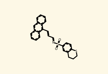 O=S(=O)(N=CC=Cc1c2ccccc2cc2ccccc12)c1ccc2c(c1)CCCS2